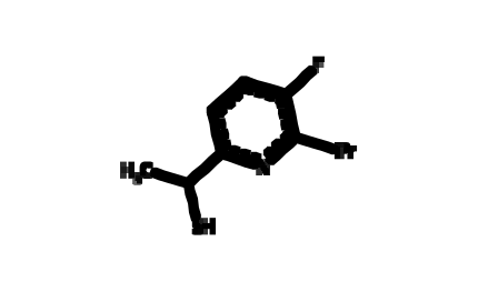 CC(C)c1nc(C(C)S)ccc1F